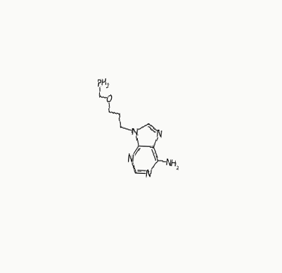 Nc1ncnc2c1ncn2CCCOCP